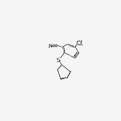 N#Cc1cc(Cl)ccc1SC1CCCC1